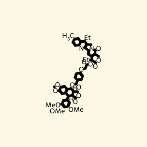 CCc1c2c(nc3ccc(C)cc13)-c1cc3c(c(=O)n1C2)COC(=O)C3(CC)OC(=O)COc1ccc(C(=O)OC2c3cc4c(cc3C(c3cc(OC)c(OC)c(OC)c3)[C@H]3C(=O)OC[C@@H]23)OCO4)cc1